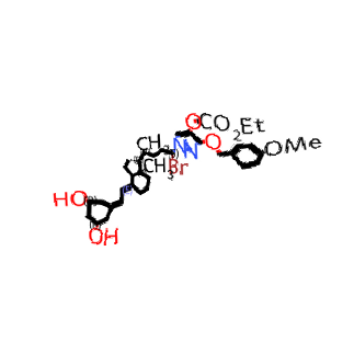 CCOC(=O)Oc1cn([C@@H](Br)CC[C@@H](C)[C@H]2CCC3/C(=C/C=C4C[C@@H](O)C[C@H](O)C4)CCC[C@@]32C)nc1OCc1ccc(OC)cc1